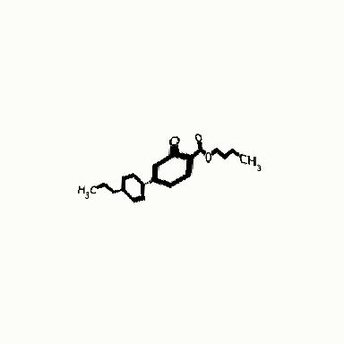 CCCCOC(=O)C1CCC([C@H]2CC[C@H](CCC)CC2)CC1=O